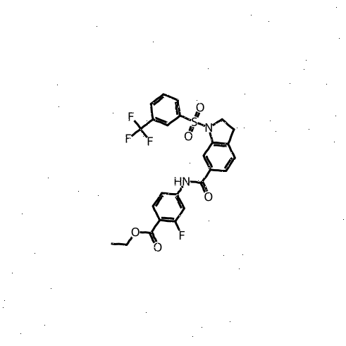 CCOC(=O)c1ccc(NC(=O)c2ccc3c(c2)N(S(=O)(=O)c2cccc(C(F)(F)F)c2)CC3)cc1F